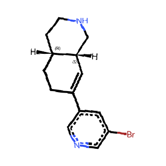 Brc1cncc(C2=C[C@H]3CNCC[C@H]3CC2)c1